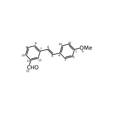 COc1ccc(C=Cc2cccc(C=O)c2)cc1